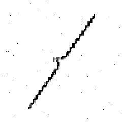 CCCCCCCCCCCCCCCCCCCCC#CPC#CCCCCCCCCCCCCCCCCCCCC